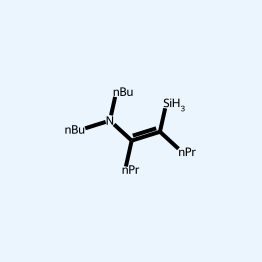 CCCCN(CCCC)C(CCC)=C([SiH3])CCC